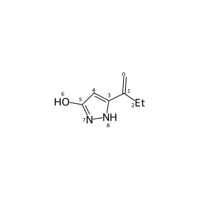 C=C(CC)c1cc(O)n[nH]1